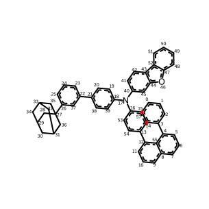 c1ccc(-c2cccc3cccc(-c4ccc(N(c5ccc(-c6cccc(C78CC9CC(CC(C9)C7)C8)c6)cc5)c5ccc6c(c5)oc5ccccc56)cc4)c23)cc1